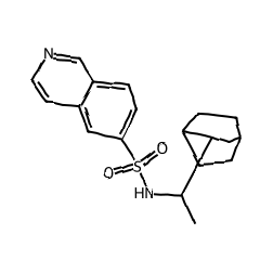 CC(NS(=O)(=O)c1ccc2cnccc2c1)C1CC2CCC1CC2